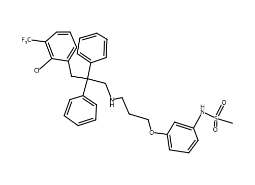 CS(=O)(=O)Nc1cccc(OCCCNCC(Cc2cccc(C(F)(F)F)c2Cl)(c2ccccc2)c2ccccc2)c1